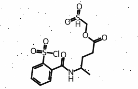 CC(CCC(=O)OC[SH](=O)=O)NC(=O)c1ccccc1S(=O)(=O)Cl